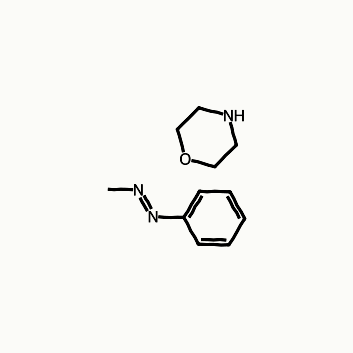 C/N=N/c1ccccc1.C1COCCN1